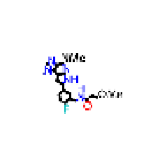 CNc1nc2[nH]c(-c3ccc(F)c(CNC(=O)CCOC)c3)cc2c2c1ncn2C